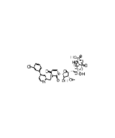 O=c1ccn([C@@H]2O[C@H](COP(=O)(O)OP(=O)(O)OP(=O)(O)O)[C@H](O)C2O)c(=O)n1Cc1cc(-c2cccc(Cl)c2)ccn1